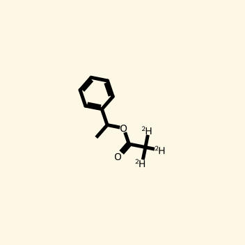 [2H]C([2H])([2H])C(=O)OC(C)c1ccccc1